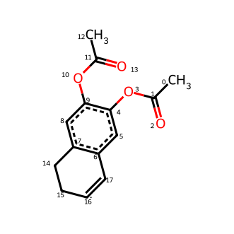 CC(=O)Oc1cc2c(cc1OC(C)=O)CC[C]=C2